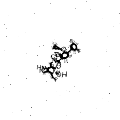 CN(Cc1c[n+](O)c(CF)c2cn[nH]c12)C(=O)c1ccc(-c2cc(F)cc(F)c2)c(OC2CC2)c1F